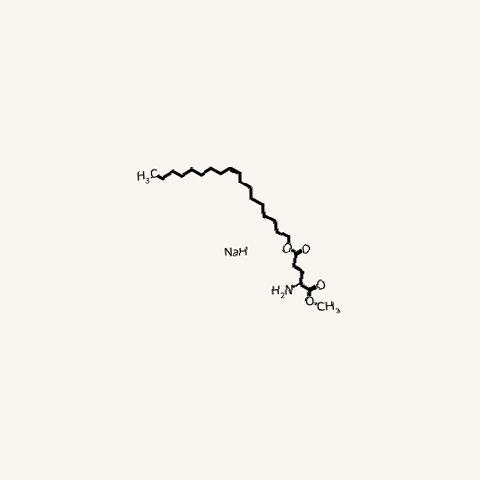 CCCCCCCC/C=C\CCCCCCCCOC(=O)CC[C@H](N)C(=O)OC.[NaH]